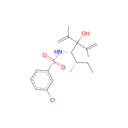 C=C(C)C(O)(C(=C)C)[C@@H](NS(=O)(=O)c1cccc(Cl)c1)[C@@H](C)CC